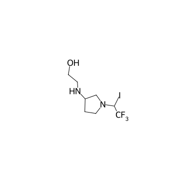 OCCNC1CCN(C(I)C(F)(F)F)C1